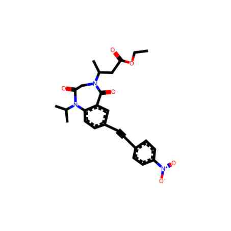 CCOC(=O)CC(C)N1CC(=O)N(C(C)C)c2ccc(C#Cc3ccc([N+](=O)[O-])cc3)cc2C1=O